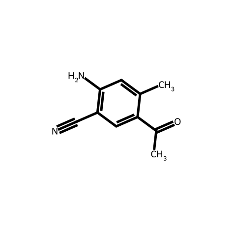 CC(=O)c1cc(C#N)c(N)cc1C